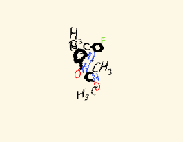 COc1ccc(N2CN(c3ccc(F)cc3C)c3cc(C)ccc3C2=O)c(C)n1